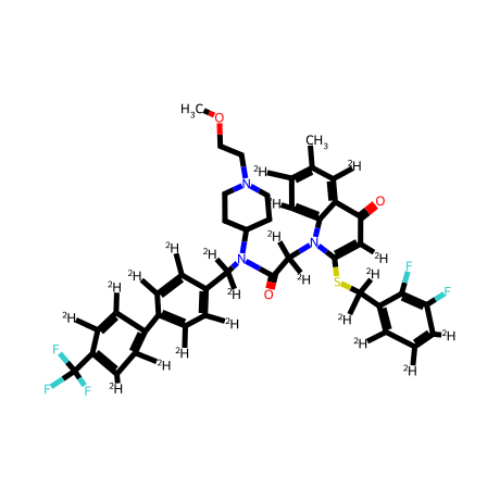 [2H]c1c([2H])c(F)c(F)c(C([2H])([2H])Sc2c([2H])c(=O)c3c([2H])c(C)c([2H])c([2H])c3n2C([2H])([2H])C(=O)N(C2CCN(CCOC)CC2)C([2H])([2H])c2c([2H])c([2H])c(-c3c([2H])c([2H])c(C(F)(F)F)c([2H])c3[2H])c([2H])c2[2H])c1[2H]